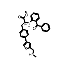 CNCc1cc(-c2ccc(C[C@H](Nc3ccccc3C(=O)c3ccccc3)C(=O)OC)cc2)cs1